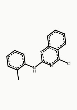 Cc1ccccc1Nc1nc(Cl)c2ccccc2n1